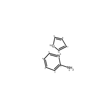 Nc1ccccn1.c1ccoc1